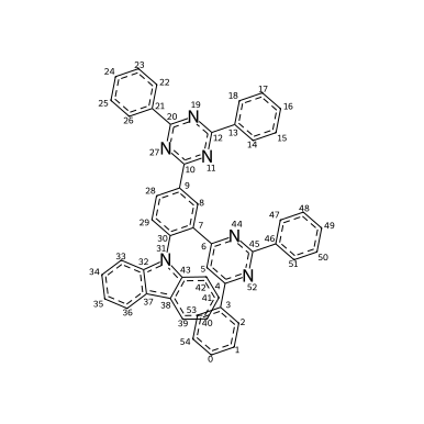 c1ccc(-c2cc(-c3cc(-c4nc(-c5ccccc5)nc(-c5ccccc5)n4)ccc3-n3c4ccccc4c4ccccc43)nc(-c3ccccc3)n2)cc1